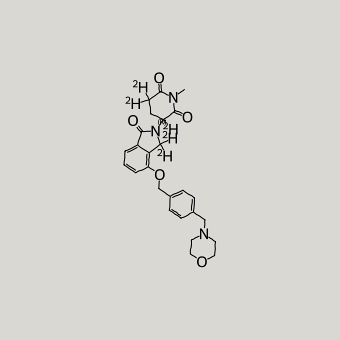 [2H]C1([2H])C[C@@]([2H])(N2C(=O)c3cccc(OCc4ccc(CN5CCOCC5)cc4)c3C2([2H])[2H])C(=O)N(C)C1=O